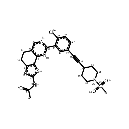 CC(=O)Nc1nc2c(s1)-c1nc(-c3cc(C#CC4CCN(S(C)(=O)=O)CC4)ccc3Cl)ncc1CC2